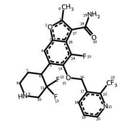 Cc1oc2cc(C3CCNCC3(F)F)c(OCc3cccnc3C(F)(F)F)c(F)c2c1C(N)=O